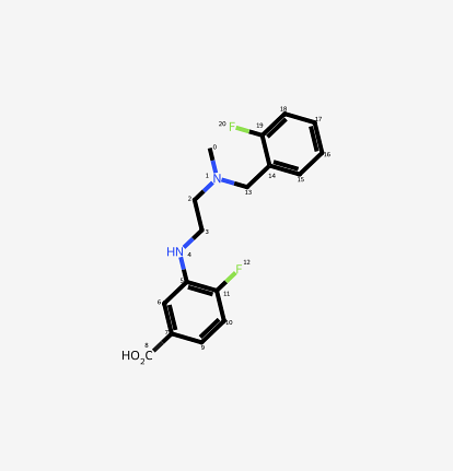 CN(CCNc1cc(C(=O)O)ccc1F)Cc1ccccc1F